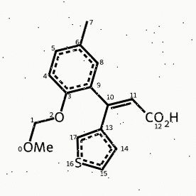 COCOc1ccc(C)cc1/C(=C/C(=O)O)c1ccsc1